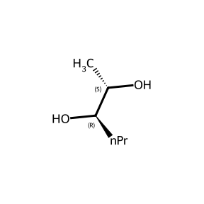 CCC[C@@H](O)[C@H](C)O